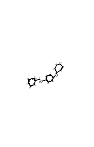 C1=CC(Oc2ccc(OCc3ccccc3)cc2)CCC1